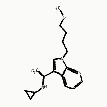 COCCCCn1cc(C(C)NC2CC2)c2cccnc21